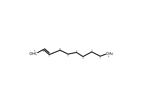 CC(=O)OCCCCCCC=CC=O